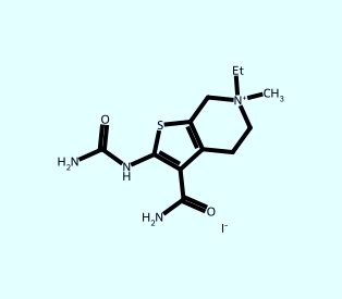 CC[N+]1(C)CCc2c(sc(NC(N)=O)c2C(N)=O)C1.[I-]